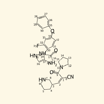 N#CC(=CC1CCCNC1)C(=O)N1CCC[C@H]1CC(=O)C1(c2ccc(Oc3ccccc3)cc2F)NNC=C1N